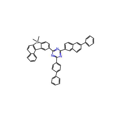 C[Si]1(C)c2ccc(-c3nc(-c4ccc(-c5ccccc5)cc4)nc(-c4ccc5cc(-c6ccccc6)ccc5c4)n3)cc2-c2c1ccc1ccccc21